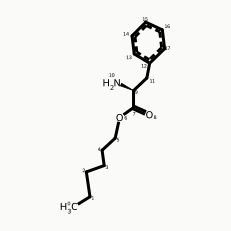 CCCCCCOC(=O)[C@@H](N)Cc1ccccc1